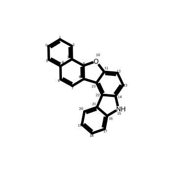 c1ccc2c(c1)ccc1c2oc2ccc3[nH]c4ccccc4c3c21